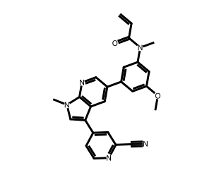 C=CC(=O)N(C)c1cc(OC)cc(-c2cnc3c(c2)c(-c2ccnc(C#N)c2)cn3C)c1